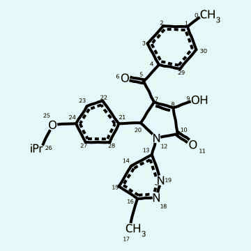 Cc1ccc(C(=O)C2=C(O)C(=O)N(c3ccc(C)nn3)C2c2ccc(OC(C)C)cc2)cc1